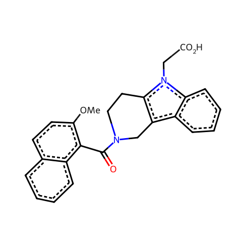 COc1ccc2ccccc2c1C(=O)N1CCc2c(c3ccccc3n2CC(=O)O)C1